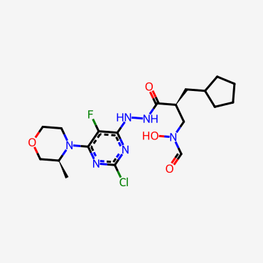 C[C@H]1COCCN1c1nc(Cl)nc(NNC(=O)[C@@H](CC2CCCC2)CN(O)C=O)c1F